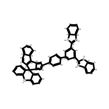 c1ccc2c(c1)Oc1ccccc1C21c2ccc(-c3ccc(-c4cc(-c5nc6ccccc6s5)cc(-c5nc6ccccc6s5)c4)cc3)cc2-c2c1ccc1ccccc21